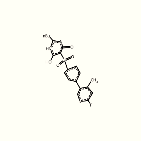 CCCCc1nc(=O)c(S(=O)(=O)c2ccc(-c3cnc(F)cc3C)cc2)c(O)[nH]1